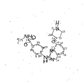 O=S(=O)(NC1CC1)c1ccc(Nc2ncc3cccc(OC4CCNCC4)c3n2)cc1